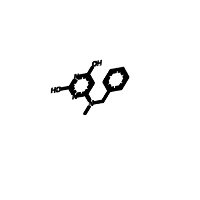 CN(Cc1ccccc1)c1cc(O)nc(O)n1